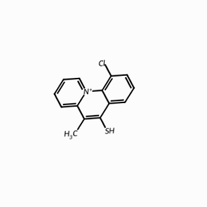 Cc1c(S)c2cccc(Cl)c2[n+]2ccccc12